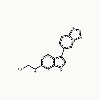 FC(F)(F)CNc1ncc2c(-c3ccc4ncnn4c3)c[nH]c2n1